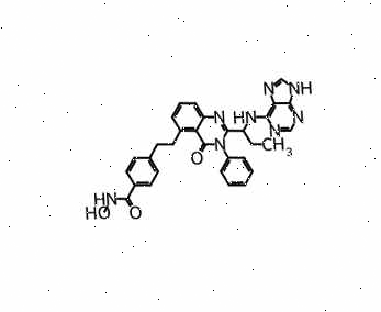 CCC(Nc1ncnc2[nH]cnc12)c1nc2cccc(CCc3ccc(C(=O)NO)cc3)c2c(=O)n1-c1ccccc1